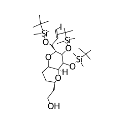 CC(C)(C)[Si](C)(C)OC(/C=C/I)[C@@H]1OC2CC[C@H](CCO)O[C@@H]2C(O[Si](C)(C)C(C)(C)C)C1O[Si](C)(C)C(C)(C)C